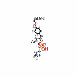 CCCCCCCCCCCCOc1ccc(CC(COP(=O)(O)CCC[N+](C)(C)C)CC(C)=O)cc1